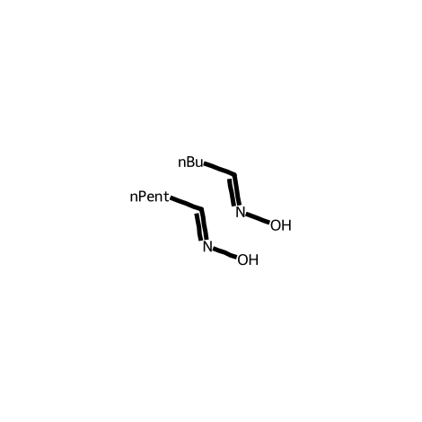 CCCCC=NO.CCCCCC=NO